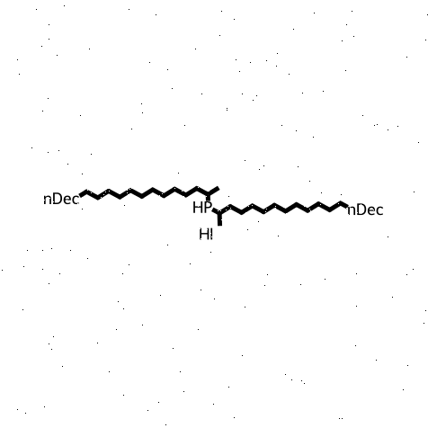 CCCCCCCCCCCCCCCCCCCCCC(C)PC(C)CCCCCCCCCCCCCCCCCCCCC.I